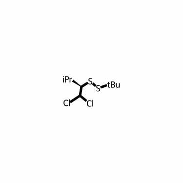 CC(C)[C@@H](SSC(C)(C)C)C(Cl)Cl